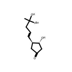 CCCCC(C)(O)C/C=C/[C@@H]1CC(=O)C[C@H]1O